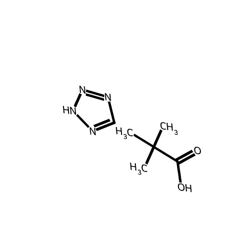 CC(C)(C)C(=O)O.c1nn[nH]n1